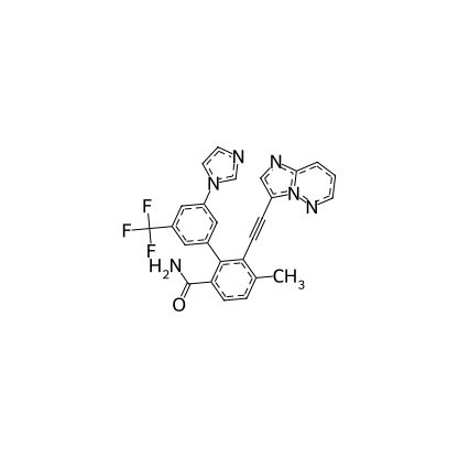 Cc1ccc(C(N)=O)c(-c2cc(-n3ccnc3)cc(C(F)(F)F)c2)c1C#Cc1cnc2cccnn12